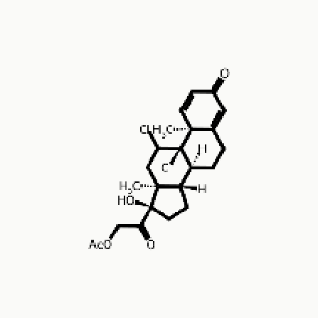 CC(=O)OCC(=O)[C@@]1(O)CC[C@H]2[C@@H]3CCC4=CC(=O)C=C[C@]4(C)[C@@]3(Cl)C(Cl)C[C@@]21C